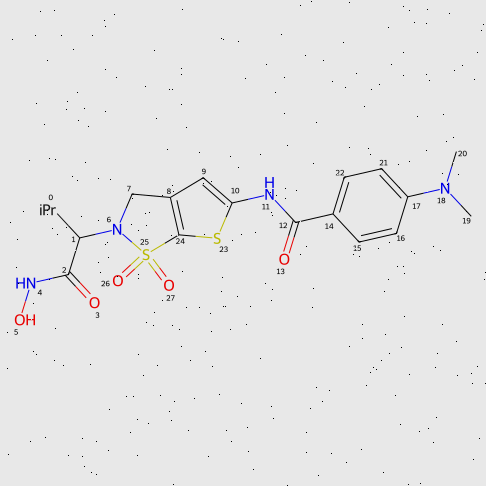 CC(C)C(C(=O)NO)N1Cc2cc(NC(=O)c3ccc(N(C)C)cc3)sc2S1(=O)=O